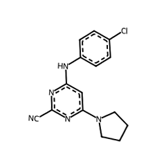 N#Cc1nc(Nc2ccc(Cl)cc2)cc(N2CCCC2)n1